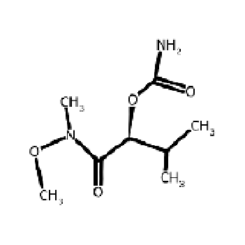 CON(C)C(=O)[C@@H](OC(N)=O)C(C)C